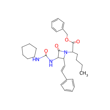 CCCCC(C(=O)OCc1ccccc1)N1C(=O)C(NC(=O)NC2CCCCC2)C1C=Cc1ccccc1